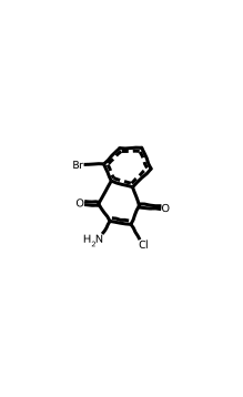 NC1=C(Cl)C(=O)c2cccc(Br)c2C1=O